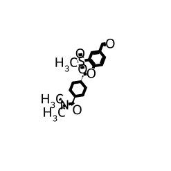 CN(C)C(=O)[C@H]1CC[C@H](COc2ccc(C=O)cc2S(C)(=O)=O)CC1